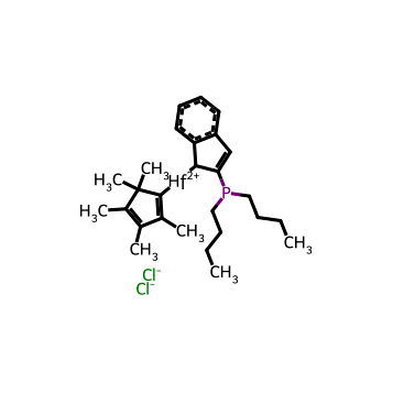 CCCCP(CCCC)C1=Cc2ccccc2[CH]1[Hf+2][C]1=C(C)C(C)=C(C)C1(C)C.[Cl-].[Cl-]